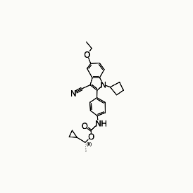 CCOc1ccc2c(c1)c(C#N)c(-c1ccc(NC(=O)O[C@H](C)C3CC3)cc1)n2C1CCC1